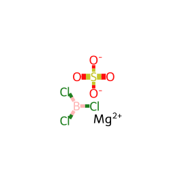 ClB(Cl)Cl.O=S(=O)([O-])[O-].[Mg+2]